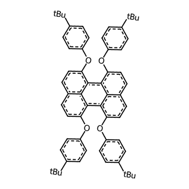 CC(C)(C)c1ccc(Oc2ccc3ccc(Oc4ccc(C(C)(C)C)cc4)c4c5c(Oc6ccc(C(C)(C)C)cc6)ccc6ccc(Oc7ccc(C(C)(C)C)cc7)c(c2c34)c65)cc1